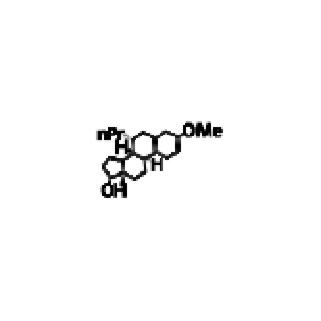 CCC[C@@H]1CC2=C(CC=C(OC)C2)[C@H]2CC[C@@]3(C)C(=CC[C@@H]3O)[C@H]12